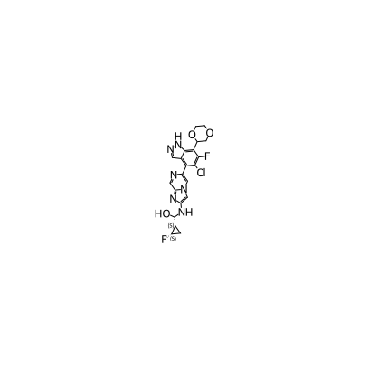 OC(Nc1cn2cc(-c3c(Cl)c(F)c(C4COCCO4)c4[nH]ncc34)ncc2n1)[C@@H]1C[C@@H]1F